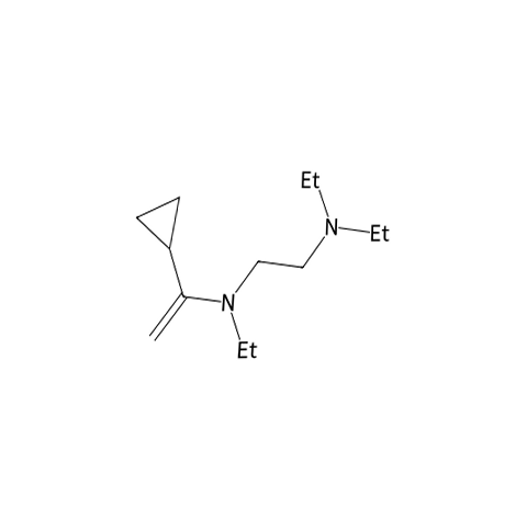 C=C(C1CC1)N(CC)CCN(CC)CC